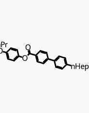 CCCCCCCc1ccc(-c2ccc(C(=O)Oc3ccc(OCCC)cc3)cc2)cc1